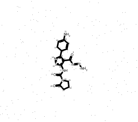 NN=NC(=O)c1c(C2C=CC(N)=CC2)nsc1NC(=O)N1CCCC1=O